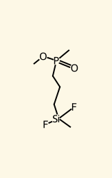 COP(C)(=O)CCC[Si](C)(F)F